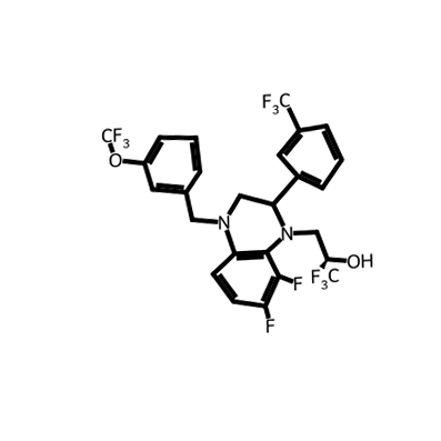 O[C@H](CN1c2c(ccc(F)c2F)N(Cc2cccc(OC(F)(F)F)c2)CC1c1cccc(C(F)(F)F)c1)C(F)(F)F